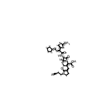 N#CCCN1CCC(=CC2=C(C(=O)O)N3C(=O)[C@@H](NC(=O)C(=NOC4CCCC4)c4csc(N)n4)[C@H]3SC2)C1=O